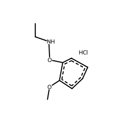 CCNOc1ccccc1OC.Cl